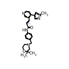 Cn1cc(-c2ccncc2/C=C/C(=O)Nc2ccc(CN3CCOC(C)(C)C3)cc2)cn1